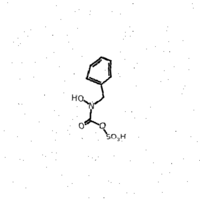 O=C(OS(=O)(=O)O)N(O)Cc1ccccc1